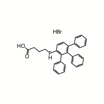 Br.O=C(O)CCCPc1ccc(-c2ccccc2)c(-c2ccccc2)c1-c1ccccc1